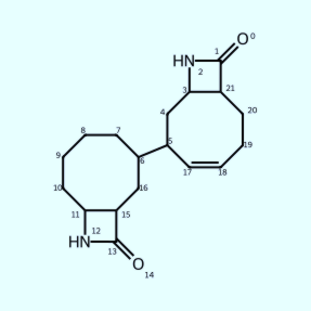 O=C1NC2CC(C3CCCCC4NC(=O)C4C3)/C=C\CCC12